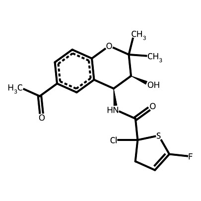 CC(=O)c1ccc2c(c1)[C@H](NC(=O)C1(Cl)CC=C(F)S1)[C@H](O)C(C)(C)O2